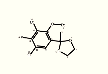 CCOc1c(C2(C)OCCO2)cc(Cl)c(F)c1CC